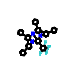 N#Cc1c(-n2c3ccc(-c4ccccc4)cc3c3cc(-c4ccccc4)ccc32)cc(-c2cc(F)c(F)c(F)c2F)cc1-n1c2ccc(-c3ccccc3)cc2c2cc(-c3ccccc3)ccc21